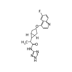 CC(C(=O)Nc1nc[nH]n1)C1[C@H]2CC(Oc3ccnc4ccc(F)cc34)C[C@@H]12